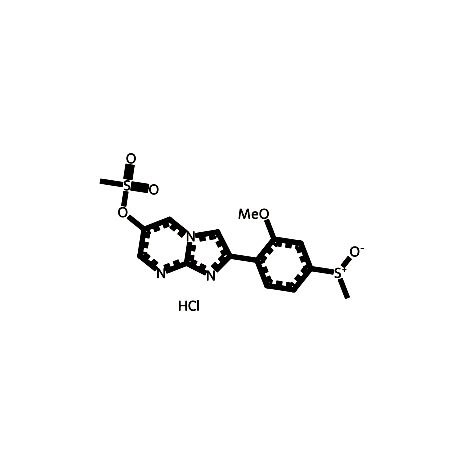 COc1cc([S+](C)[O-])ccc1-c1cn2cc(OS(C)(=O)=O)cnc2n1.Cl